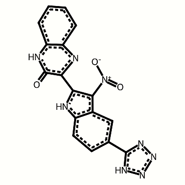 O=c1[nH]c2ccccc2nc1-c1[nH]c2ccc(-c3nnn[nH]3)cc2c1[N+](=O)[O-]